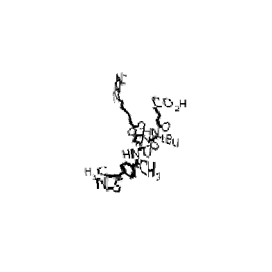 Cc1ncsc1-c1ccc([C@H](C)NC(=O)[C@@H]2C[C@@H](OC(=O)CCCCN=[N+]=[N-])CN2C(=O)[C@@H](NC(=O)CCCC(=O)O)C(C)(C)C)cc1